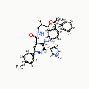 CC(CNC(=O)c1cc(-c2ccc(C(F)(F)F)cc2)nc(-c2cnn(C)c2)c1N)CO[Si](c1ccccc1)(c1ccccc1)C(C)(C)C